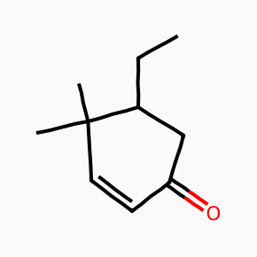 CCC1CC(=O)C=CC1(C)C